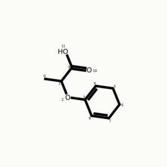 CC(OC1=CCCC=C1)C(=O)O